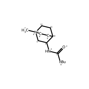 CCCCC(=O)NC1C[N+]2(C)CCC1CC2